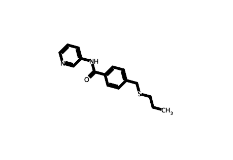 CCCSCc1ccc(C(=O)Nc2cccnc2)cc1